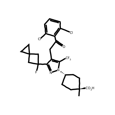 C[C@]1(C(=O)O)CC[C@H](n2nc(C3(F)CC4(CC4)C3)c(CC(=O)c3c(Cl)cccc3Cl)c2C(F)(F)F)CC1